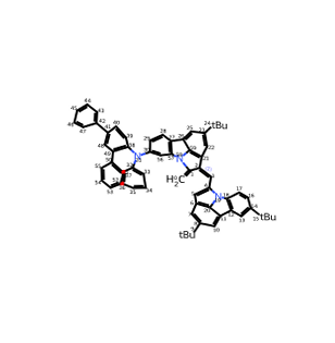 C=c1/c(=C\c2cc3cc(C(C)(C)C)cc4c5cc(C(C)(C)C)ccc5n2c34)c2cc(C(C)(C)C)cc3c4ccc(N(c5ccccc5)c5ccc(-c6ccccc6)cc5-c5ccccc5)cc4n1c23